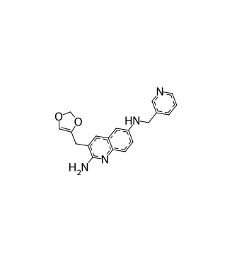 Nc1nc2ccc(NCc3cccnc3)cc2cc1CC1=COCO1